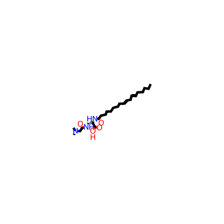 CCCCCC=CCC=CCCCCCCCC(=O)N[C@@H](CNC(=O)CN(C)C)C(=O)O